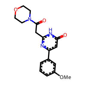 COc1cccc(-c2cc(=O)[nH]c(CC(=O)N3CCOCC3)n2)c1